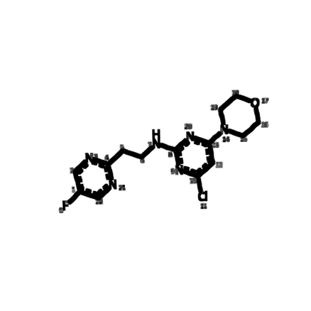 Fc1cnc(CCNc2nc(Cl)cc(N3CCOCC3)n2)nc1